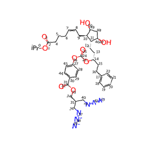 CC(C)OC(=O)CCC/C=C\C[C@@H]1[C@@H](CC[C@H](CCc2ccccc2)OC(=O)Oc2ccc(C(=O)OCC(CN=[N+]=[N-])CN=[N+]=[N-])cc2)[C@H](O)C[C@@H]1O